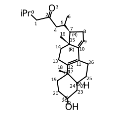 CC(C)CC(=O)CC(C)[C@H]1CC=C2C3=C(CC[C@@]21C)[C@@]1(C)CC[C@H](O)C[C@@H]1CC3